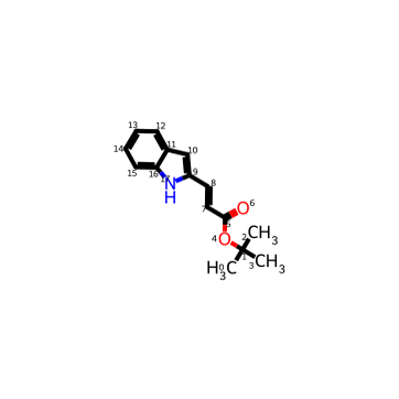 CC(C)(C)OC(=O)C=Cc1cc2ccccc2[nH]1